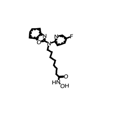 O=C(CCCCCCCN(c1ccc(F)cn1)c1nc2ccccc2o1)NO